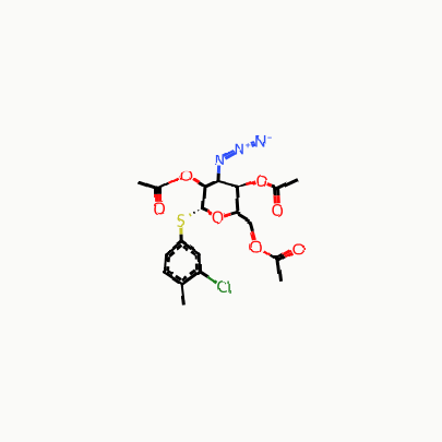 CC(=O)OCC1O[C@H](Sc2ccc(C)c(Cl)c2)C(OC(C)=O)C(N=[N+]=[N-])[C@H]1OC(C)=O